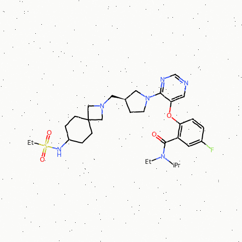 CCN(C(=O)c1cc(F)ccc1Oc1cncnc1N1CC[C@@H](CN2CC3(CCC(NS(=O)(=O)CC)CC3)C2)C1)C(C)C